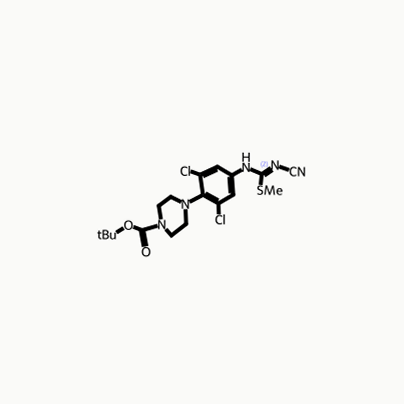 CS/C(=N\C#N)Nc1cc(Cl)c(N2CCN(C(=O)OC(C)(C)C)CC2)c(Cl)c1